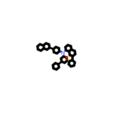 c1ccc(-c2cccc(N(c3ccc(-c4ccc5ccccc5c4)cc3)c3cccc4ccc5c6ccccc6sc5c34)c2)cc1